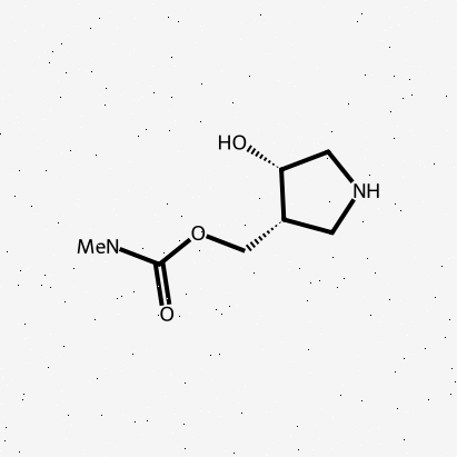 CNC(=O)OC[C@H]1CNC[C@H]1O